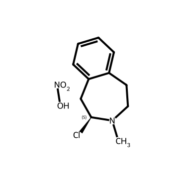 CN1CCc2ccccc2C[C@@H]1Cl.O=[N+]([O-])O